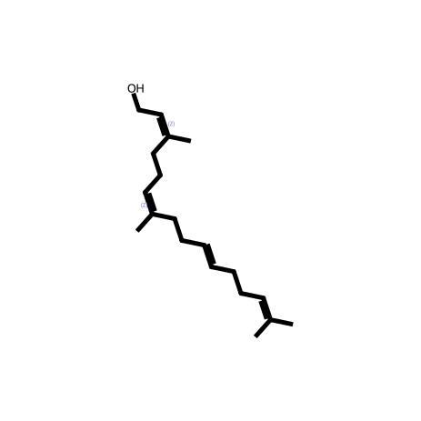 CC(C)=CCCC=CCC/C(C)=C\CC/C(C)=C\CO